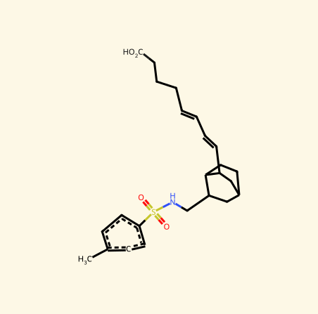 Cc1ccc(S(=O)(=O)NCC2CC3CCC2C(C=CC=CCCCC(=O)O)C3)cc1